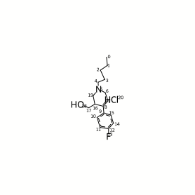 CCCCCN1CC=C(c2ccc(F)cc2)C(CO)C1.Cl